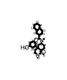 COC12CCC(N(C)C(=O)c3ccc4ccccc4c3)CC1(c1cccc(O)c1)CCN(C)C2